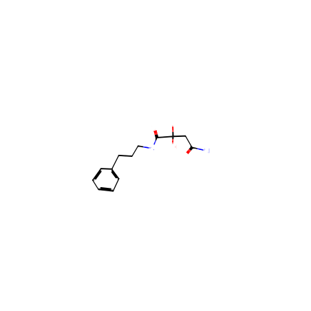 NC(=O)CC(O)(O)C(=O)NCCCc1ccccc1